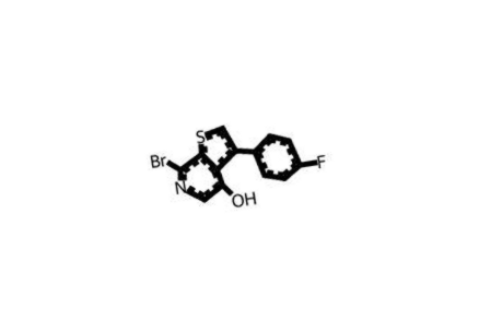 Oc1cnc(Br)c2scc(-c3ccc(F)cc3)c12